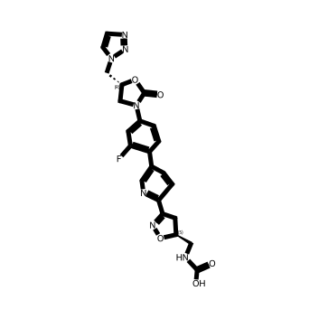 O=C(O)NC[C@@H]1CC(c2ccc(-c3ccc(N4C[C@H](Cn5ccnn5)OC4=O)cc3F)cn2)=NO1